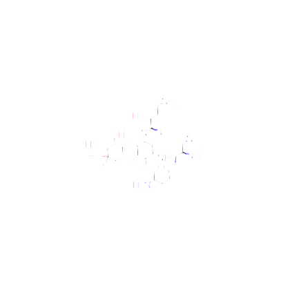 C[C@@H]1C(O)[C@@H](OC2C(O)C(O[C@H]3O[C@H](CCC(=N)CN)CCC3N)[C@@H](N)C[C@H]2NC(=N)C(O)CCN)OCC1(C)O